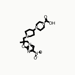 CC1(CN2CCC(N3CCN(C(=O)O)CC3)CC2)Cn2cc([N+](=O)[O-])nc2O1